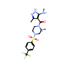 CNc1[nH]nc(C)c1C(=O)N1CCN(S(=O)(=O)c2ccc(C(F)(F)F)cc2)C[C@@H]1C